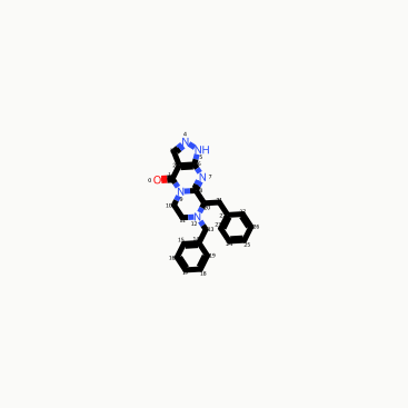 O=c1c2cn[nH]c2nc2n1CCN(Cc1ccccc1)C2Cc1ccccc1